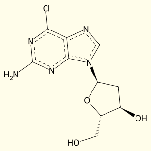 Nc1nc(Cl)c2ncn([C@H]3C[C@@H](O)[C@H](CO)O3)c2n1